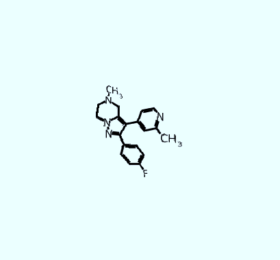 Cc1cc(-c2c(-c3ccc(F)cc3)nn3c2CN(C)CC3)ccn1